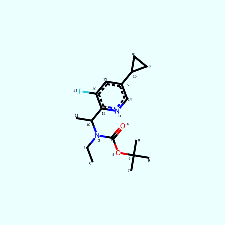 CCN(C(=O)OC(C)(C)C)C(C)c1ncc(C2CC2)cc1F